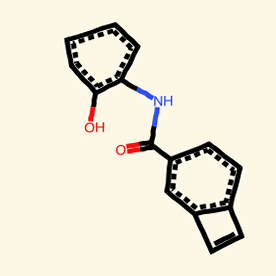 O=C(Nc1ccccc1O)c1ccc2c(c1)C=C2